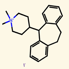 C[N+]1(C)CCC(C2c3ccccc3CCc3ccccc32)CC1.[I-]